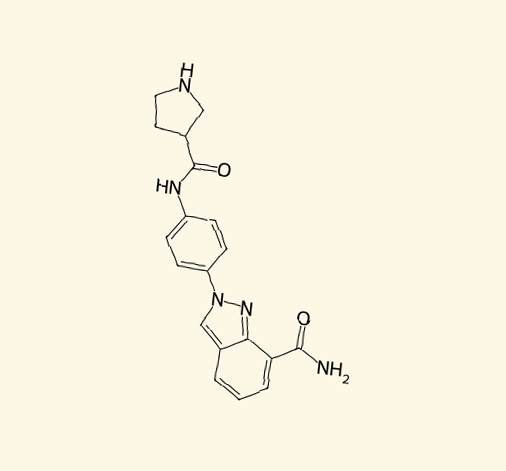 NC(=O)c1cccc2cn(-c3ccc(NC(=O)C4CCNC4)cc3)nc12